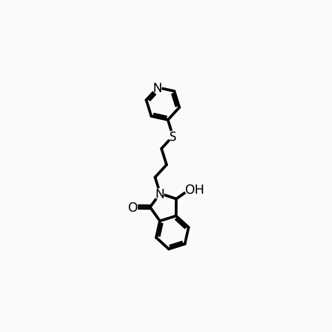 O=C1c2ccccc2C(O)N1CCCSc1ccncc1